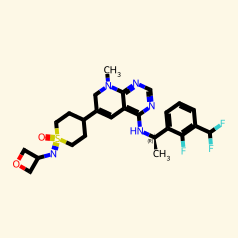 C[C@@H](Nc1ncnc2c1C=C(C1CCS(=O)(=NC3COC3)CC1)CN2C)c1cccc(C(F)F)c1F